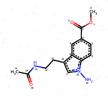 COC(=O)c1ccc2c(c1)c(CCNC(C)=O)cn2N